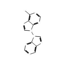 Clc1ncnc2c1ncn2-n1cnc2cncnc21